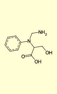 NCN(c1ccccc1)C(CO)C(=O)O